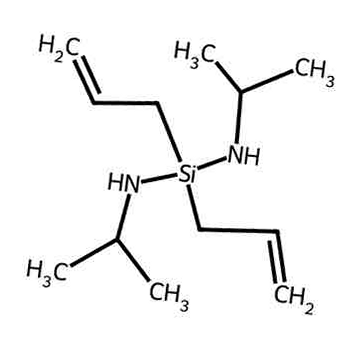 C=CC[Si](CC=C)(NC(C)C)NC(C)C